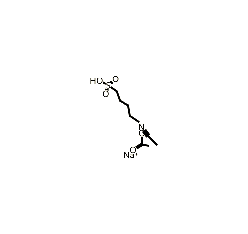 CC#N.CC(=O)[O-].CCCCCS(=O)(=O)O.[Na+]